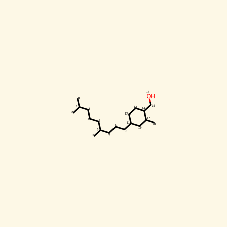 CC(C)CCCC(C)CCCC1CCC(CO)C(C)C1